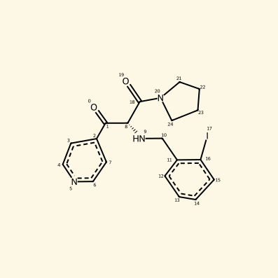 O=C(c1ccncc1)[C@@H](NCc1ccccc1I)C(=O)N1CCCC1